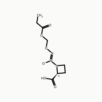 CCC(=O)OCON=[N+]([O-])N1CC[C@H]1C(=O)O